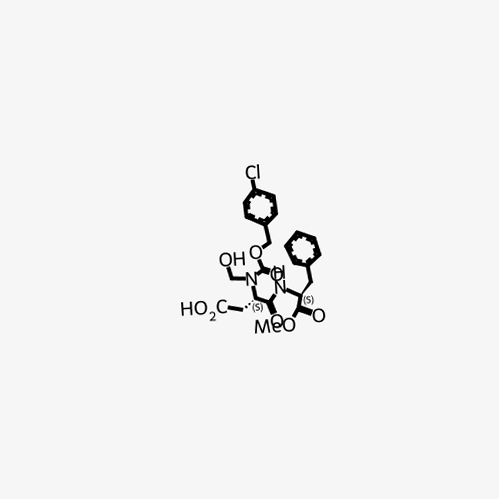 COC(=O)[C@H](Cc1ccccc1)NC(=O)[C@H](CC(=O)O)N(CO)C(=O)OCc1ccc(Cl)cc1